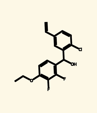 C=Cc1ccc(Cl)c(C(O)c2ccc(OCC)c(F)c2F)c1